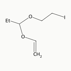 C=COC(CC)OCCI